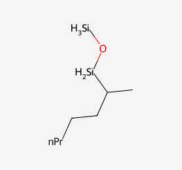 CCCCCC(C)[SiH2]O[SiH3]